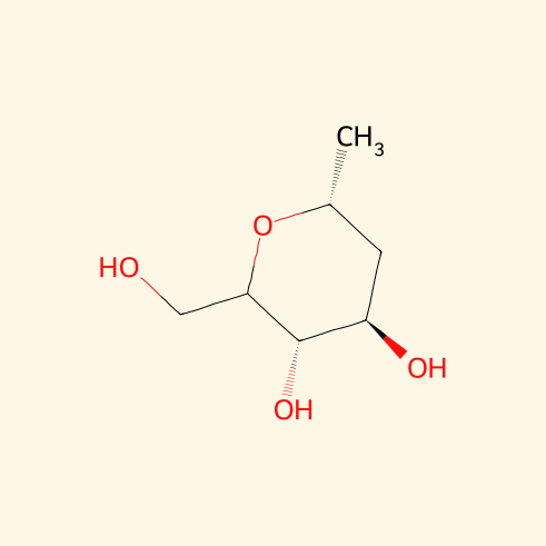 C[C@@H]1C[C@@H](O)[C@H](O)C(CO)O1